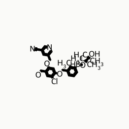 Cc1c(BOC(C)(C)C(C)(C)O)cccc1COc1cc(OCc2cncc(C#N)c2)c(C=O)cc1Cl